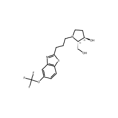 OC[C@H]1[C@H](O)CCN1CCCc1nc2cc(OC(F)(F)F)ccc2s1